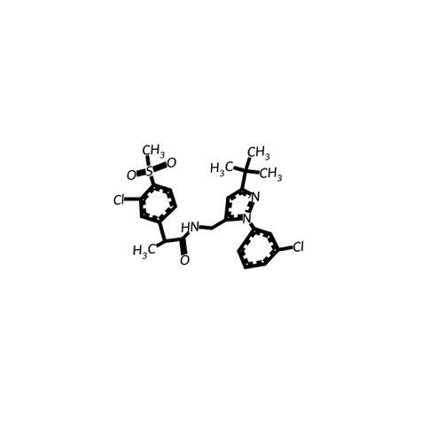 CC(C(=O)NCc1cc(C(C)(C)C)nn1-c1cccc(Cl)c1)c1ccc(S(C)(=O)=O)c(Cl)c1